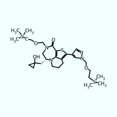 C[Si](C)(C)CCOCN1C[C@@H](CC2(O)CC2)N2CCCc3c(-c4cnn(COCC[Si](C)(C)C)c4)sc(c32)C1=O